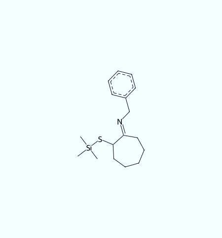 C[Si](C)(C)SC1CCCCCC1=NCc1ccccc1